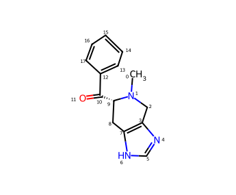 CN1Cc2nc[nH]c2C[C@@H]1C(=O)c1ccccc1